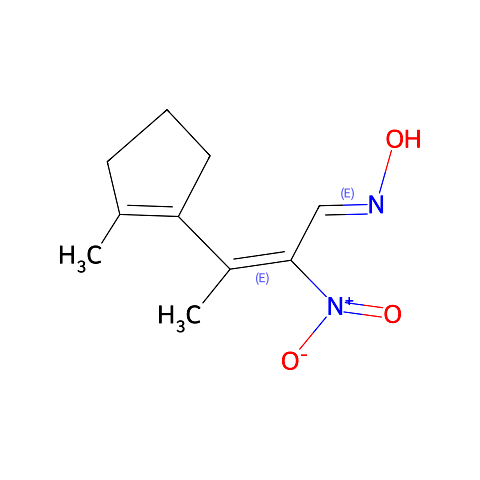 CC1=C(/C(C)=C(\C=N\O)[N+](=O)[O-])CCC1